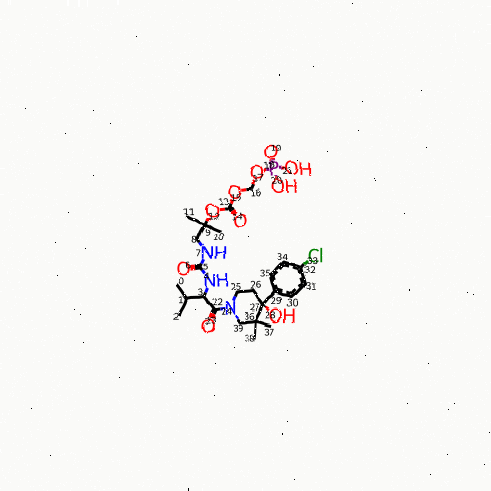 CC(C)C(NC(=O)NCC(C)(C)OC(=O)OCOP(=O)(O)O)C(=O)N1CC[C@](O)(c2ccc(Cl)cc2)C(C)(C)C1